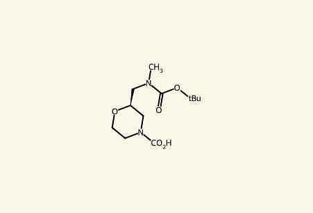 CN(C[C@H]1CN(C(=O)O)CCO1)C(=O)OC(C)(C)C